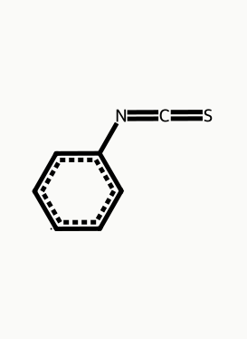 S=C=Nc1cc[c]cc1